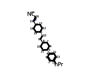 CCCc1ccc([C@H]2CC[C@H](CC[C@H]3CC[C@H](/C=C/C#N)CC3)CC2)cc1